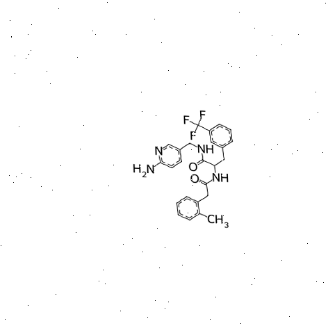 Cc1ccccc1CC(=O)NC(Cc1cccc(C(F)(F)F)c1)C(=O)NCc1ccc(N)nc1